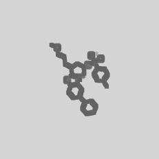 COC=CC=C1CCC[n+]2c1oc1ccc(-c3ccccc3)cc12.Cc1ccc(S(=O)(=O)[O-])cc1